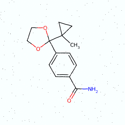 CC1(C2(c3ccc(C(N)=O)cc3)OCCO2)CC1